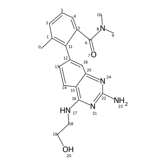 Cc1cccc(C(=O)N(C)C)c1-c1ccc2c(NCCO)nc(N)nc2c1